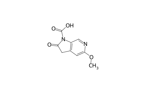 COc1cc2c(cn1)N(C(=O)O)C(=O)C2